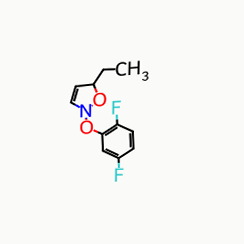 CCC1C=CN(Oc2cc(F)ccc2F)O1